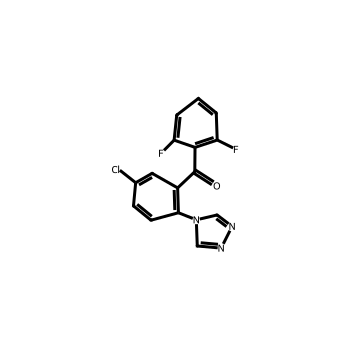 O=C(c1cc(Cl)ccc1-n1cnnc1)c1c(F)cccc1F